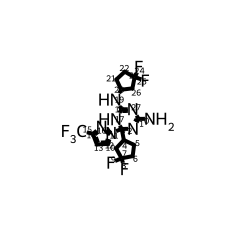 NC1=NC(C2CCC(F)(F)C2)(n2ccc(C(F)(F)F)n2)NC(NC2CCC(F)(F)C2)=N1